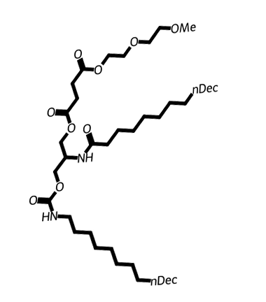 CCCCCCCCCCCCCCCCCCNC(=O)OCC(COC(=O)CCC(=O)OCCOCCOC)NC(=O)CCCCCCCCCCCCCCCCC